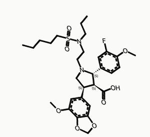 CCCCCS(=O)(=O)N(CCC)CCN1C[C@H](c2cc(OC)c3c(c2)OCO3)[C@H](C(=O)O)[C@H]1c1ccc(OC)c(F)c1